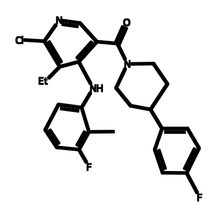 CCc1c(Cl)ncc(C(=O)N2CCC(c3ccc(F)cc3)CC2)c1Nc1cccc(F)c1C